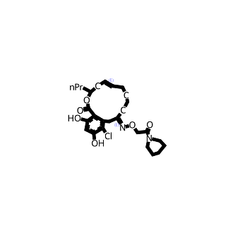 CCCC1C/C=C/CCCC/C(=N\OCC(=O)N2CCCCC2)Cc2c(Cl)c(O)cc(O)c2C(=O)O1